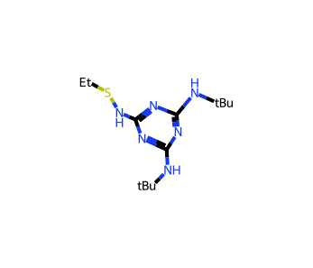 CCSNc1nc(NC(C)(C)C)nc(NC(C)(C)C)n1